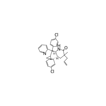 C=CCC1(C)C[C@H](c2cccc(Cl)c2)[C@@H](C(c2ccc(Cl)cc2)(c2ccccn2)C2CC2)NC1=O